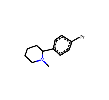 CC(C)c1ccc(C2CCCCN2C)cc1